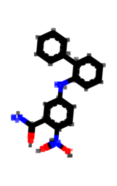 NC(=O)c1cc(Nc2ccccc2-c2ccccc2)ccc1[N+](=O)[O-]